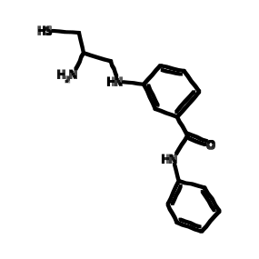 NC(CS)CNc1cccc(C(=O)Nc2ccccc2)c1